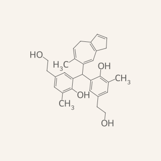 CC1=CCC2=C(C=C1C(c1cc(CCO)cc(C)c1O)c1cc(CCO)cc(C)c1O)CC=C2